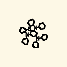 c1ccc(N(c2ccccc2)c2cc3c4c(c2)N(c2ccccc2)c2ccccc2B4c2ccccc2N3c2ccccc2)cc1